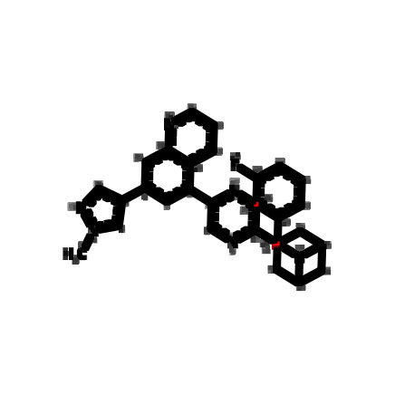 Cn1cc(-c2cc(-c3cnc(N4CC5CC(C4)N5Cc4cccc(F)c4)cn3)c3cccnc3c2)cn1